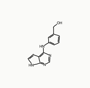 OCc1cccc(Nc2ncnc3[nH]c[c]c23)c1